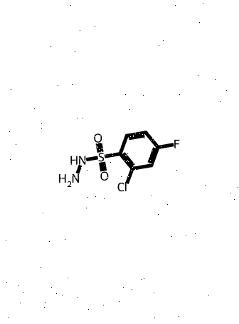 NNS(=O)(=O)c1ccc(F)cc1Cl